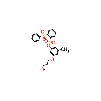 Cc1cc(OCCC[O])cc(OS(=O)(=O)c2ccccc2S(=O)(=O)c2ccccc2)c1